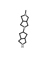 CN1CC2CN(C3CC4CNCC4C3)CC2C1